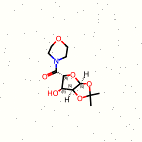 CC1(C)O[C@@H]2O[C@@H](C(=O)N3CCOCC3)[C@H](O)[C@@H]2O1